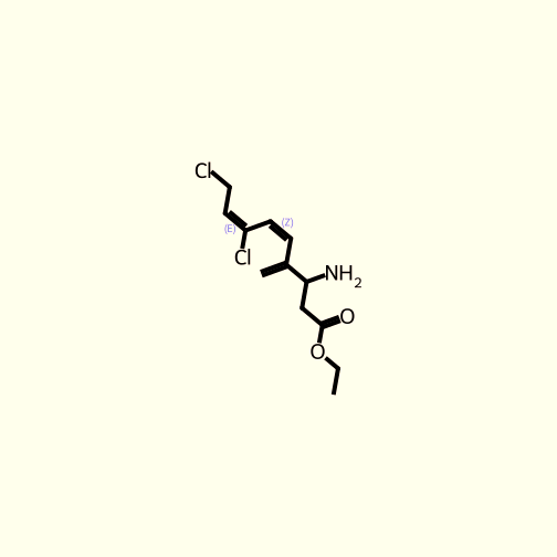 C=C(/C=C\C(Cl)=C/CCl)C(N)CC(=O)OCC